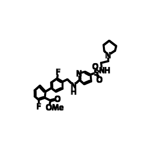 COC(=O)c1c(F)cccc1-c1ccc(CNc2ccc(S(=O)(=O)NCCN3CCCCC3)cn2)c(F)c1